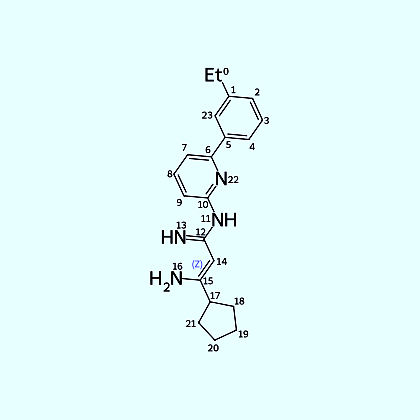 CCc1cccc(-c2cccc(NC(=N)/C=C(\N)C3CCCC3)n2)c1